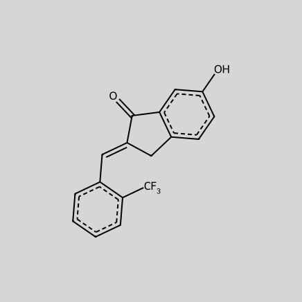 O=C1C(=Cc2ccccc2C(F)(F)F)Cc2ccc(O)cc21